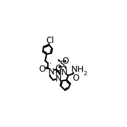 CS(=O)(=O)CNC(C(N)=O)c1ccccc1N1CCN(C(=O)[CH]Cc2ccc(Cl)cc2)CC1